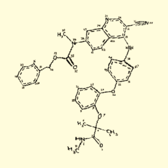 CNC(=O)C(C)(C)Oc1ccccc1Oc1ccc(Nc2c(C#N)cnc3cc(N(C)C(=O)OCc4ccccc4)ccc23)cc1